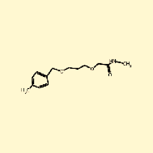 CNC(=O)COCCCOCc1ccc(C)cc1